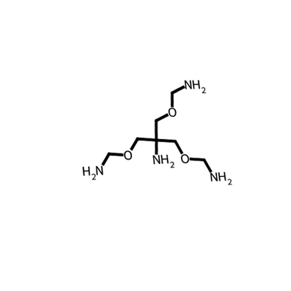 NCOCC(N)(COCN)COCN